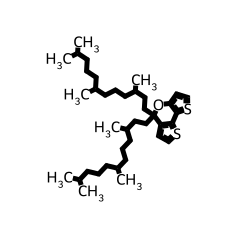 CC(C)CCCC(C)CCCC(C)CCC1(CCC(C)CCCC(C)CCCC(C)C)Oc2ccsc2-c2sccc21